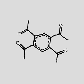 CC(=O)c1cc(C(C)=O)c(C(C)=O)cc1C(C)=O